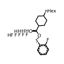 CCCCCCC1CCC(C(=O)OSc2ccccc2F)CC1.F.F.F.F.F